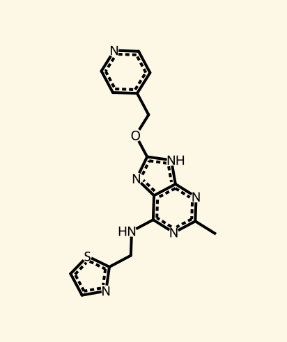 Cc1nc(NCc2nccs2)c2nc(OCc3ccncc3)[nH]c2n1